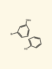 CSc1cccc(Br)c1.Sc1ccccc1